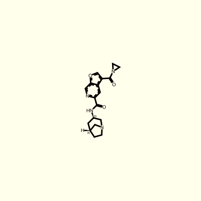 O=C(N[C@@H]1C[C@H]2CCN(C2)C1)c1cc2c(C(=O)N3CC3)coc2cn1